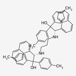 Cc1ccc(C(O)(c2ccc(C)cc2)[C@@H](NCCCN[C@@H](c2cccc3ccccc23)C(O)(c2ccc(C)cc2)c2ccc(C)cc2)c2cccc3ccccc23)cc1